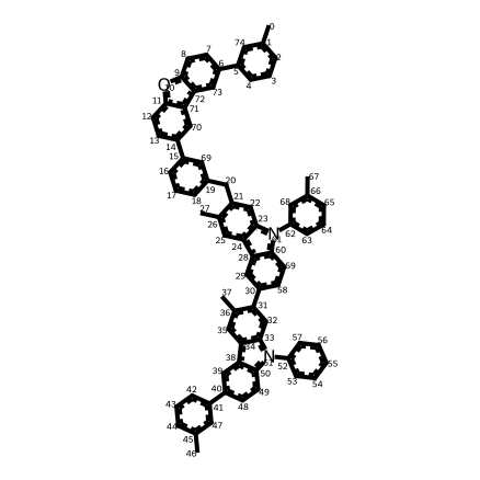 Cc1cccc(-c2ccc3oc4ccc(-c5cccc(Cc6cc7c(cc6C)c6cc(-c8cc9c(cc8C)c8cc(-c%10cccc(C)c%10)ccc8n9-c8ccccc8)ccc6n7-c6cccc(C)c6)c5)cc4c3c2)c1